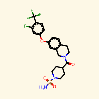 NS(=O)(=O)N1CCC(C(=O)N2CCc3ccc(Oc4ccc(C(F)(F)F)c(F)c4)cc3C2)CC1